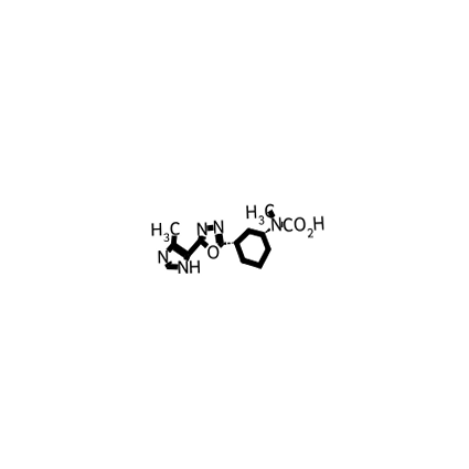 Cc1nc[nH]c1-c1nnc([C@H]2CCC[C@@H](N(C)C(=O)O)C2)o1